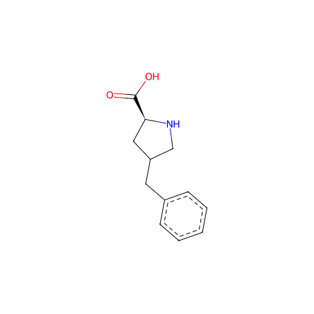 O=C(O)[C@@H]1CC(Cc2ccccc2)CN1